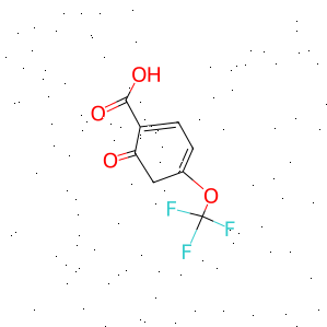 O=C(O)C1=CC=C(OC(F)(F)F)CC1=O